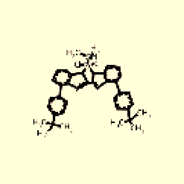 CC1=Cc2c(-c3ccc(C(C)(C)C)cc3)cccc2[CH]1[Zr]([Cl])([Cl])([CH]1C=Cc2c(-c3ccc(C(C)(C)C)cc3)cccc21)[SiH](C)C